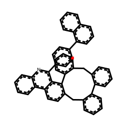 c1ccc2c(c1)Cc1ccccc1-c1c(ccc3c1c(-c1ccc(-c4cccc5ccccc45)cc1)nc1ccccc13)Cc1ccccc1-2